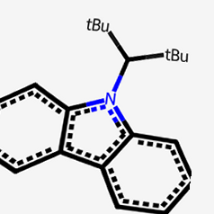 CC(C)(C)C(n1c2ccccc2c2ccccc21)C(C)(C)C